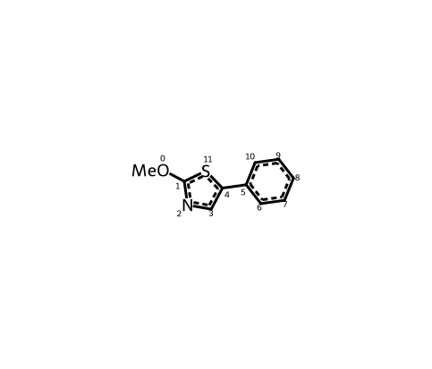 COc1ncc(-c2ccccc2)s1